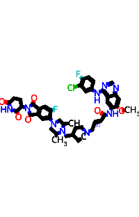 COc1cc2ncnc(Nc3ccc(F)c(Cl)c3)c2cc1NC(=O)/C=C/CN1CCC(CN2C(C)CN(c3cc4c(cc3F)C(=O)N(C3CCC(=O)NC3=O)C4=O)CC2C)CC1